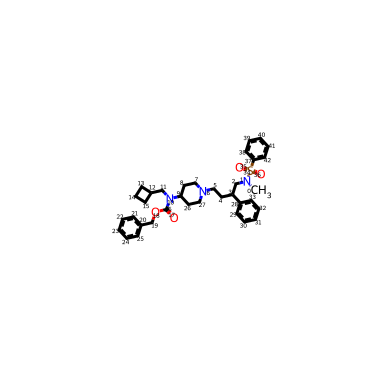 CN(CC(CCN1CCC(N(CC2CCC2)C(=O)OCc2ccccc2)CC1)c1ccccc1)S(=O)(=O)c1ccccc1